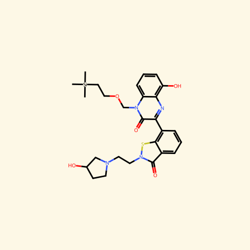 C[Si](C)(C)CCOCn1c(=O)c(-c2cccc3c(=O)n(CCN4CCC(O)C4)sc23)nc2c(O)cccc21